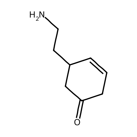 NCCC1C=CCC(=O)C1